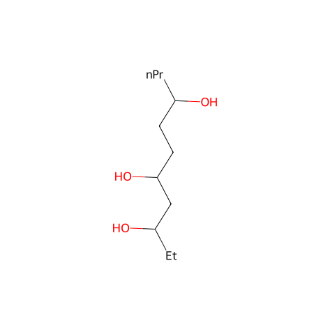 CCCC(O)CCC(O)CC(O)CC